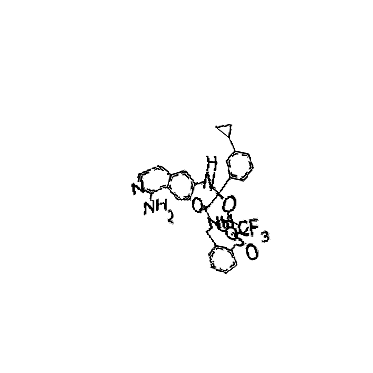 CS(=O)(=O)c1ccccc1CNC(=O)C(Nc1ccc2c(N)nccc2c1)(OC(=O)C(F)(F)F)c1cccc(C2CC2)c1